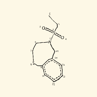 CCS(=O)(=O)N1CCSc2ccccc2C1